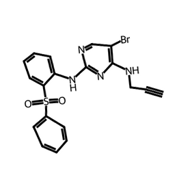 C#CCNc1nc(Nc2ccccc2S(=O)(=O)c2ccccc2)ncc1Br